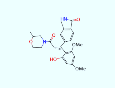 COc1cc(O)c([C@H](CC(=O)N2CCOC(C)C2)c2ccc3c(c2)CNC3=O)c(OC)c1